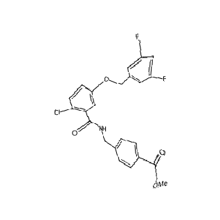 COC(=O)c1ccc(CNC(=O)c2cc(OCc3cc(F)cc(F)c3)ccc2Cl)cc1